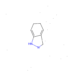 C1=C2C[N]NC2=CCC1